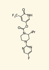 CC(C)C1CN(c2ncc(F)cn2)CCN1C(=O)Oc1c[nH]c(=O)c(C(F)(F)F)c1